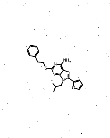 CC(F)Cn1c(-c2ccco2)nc2c(N)nc(SCCc3ccccc3)nc21